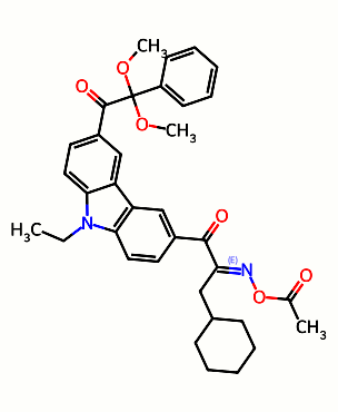 CCn1c2ccc(C(=O)/C(CC3CCCCC3)=N/OC(C)=O)cc2c2cc(C(=O)C(OC)(OC)c3ccccc3)ccc21